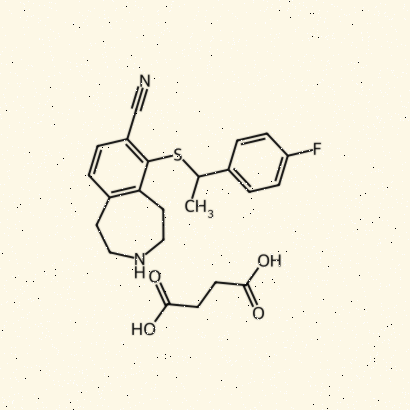 CC(Sc1c(C#N)ccc2c1CCNCC2)c1ccc(F)cc1.O=C(O)CCC(=O)O